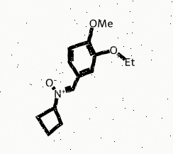 CCOc1cc(C=[N+]([O-])C2CCC2)ccc1OC